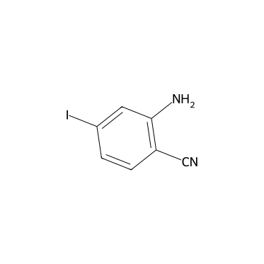 N#Cc1ccc(I)cc1N